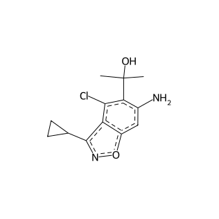 CC(C)(O)c1c(N)cc2onc(C3CC3)c2c1Cl